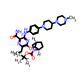 CCc1nc(C(N)=O)c(Nc2ccc(N3CCC(N4CCN(C)CC4)CC3)cc2)nc1OC1[C@@H]2CC[C@H]1N(C(=O)OC(C)(C)C)C2